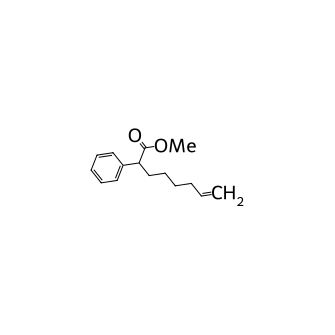 C=CCCCCC(C(=O)OC)c1ccccc1